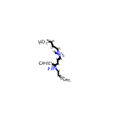 CCCCCCCCCCCCNC(C=O)CCC[N+](C)(C)CCCS(=O)(=O)O